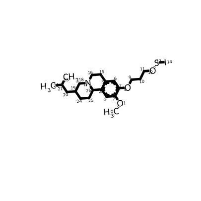 COc1cc2c(cc1OCCCOSI)CCN1CC(CC(C)C)CCC21